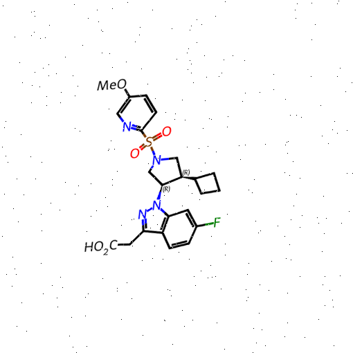 COc1ccc(S(=O)(=O)N2C[C@@H](C3CCC3)[C@@H](n3nc(CC(=O)O)c4ccc(F)cc43)C2)nc1